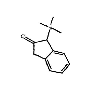 C[Si](C)(C)C1C(=O)Cc2ccccc21